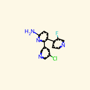 Nc1ccc(-c2ccncc2F)c(-c2cncc(Cl)c2)n1